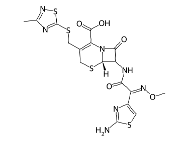 CON=C(C(=O)NC1C(=O)N2C(C(=O)O)=C(CSc3nc(C)ns3)CS[C@@H]12)c1csc(N)n1